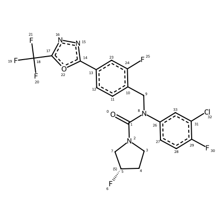 O=C(N1CC[C@H](F)C1)N(Cc1ccc(-c2nnc(C(F)(F)F)o2)cc1F)c1ccc(F)c(Cl)c1